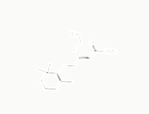 COC(=O)C=C(CCC1=C(C)CCCC1(C)C)OCC(C)(C)C